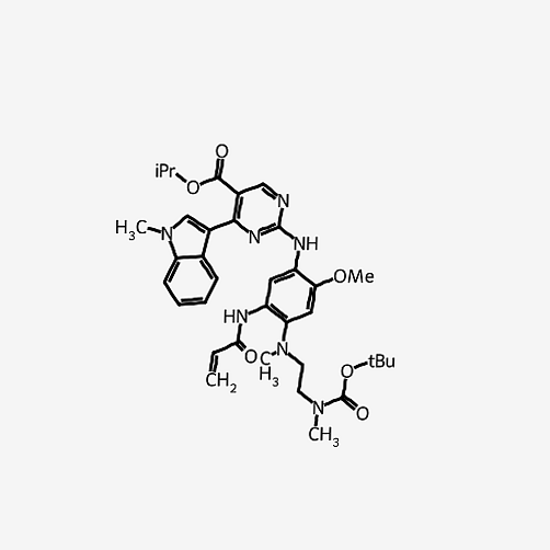 C=CC(=O)Nc1cc(Nc2ncc(C(=O)OC(C)C)c(-c3cn(C)c4ccccc34)n2)c(OC)cc1N(C)CCN(C)C(=O)OC(C)(C)C